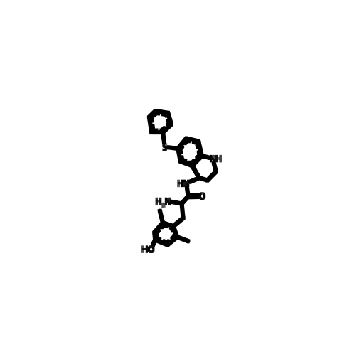 Cc1cc(O)cc(C)c1CC(N)C(=O)NC1CCNc2ccc(Sc3ccccc3)cc21